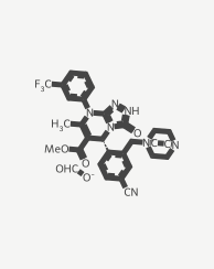 COC(=O)C1=C(C)N(c2cccc(C(F)(F)F)c2)c2n[nH]c(=O)n2[C@@H]1c1ccc(C#N)cc1C[N+]12CCN(CC1)CC2.O=C[O-]